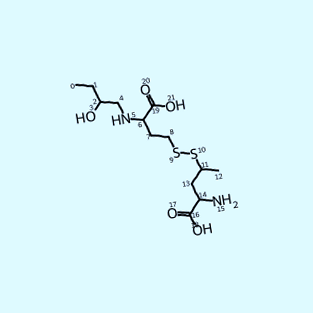 CCC(O)CNC(CCSSC(C)CC(N)C(=O)O)C(=O)O